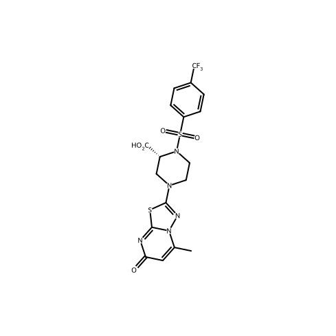 Cc1cc(=O)nc2sc(N3CCN(S(=O)(=O)c4ccc(C(F)(F)F)cc4)[C@@H](C(=O)O)C3)nn12